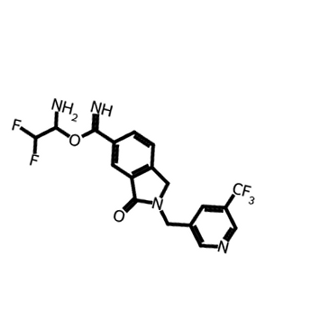 N=C(OC(N)C(F)F)c1ccc2c(c1)C(=O)N(Cc1cncc(C(F)(F)F)c1)C2